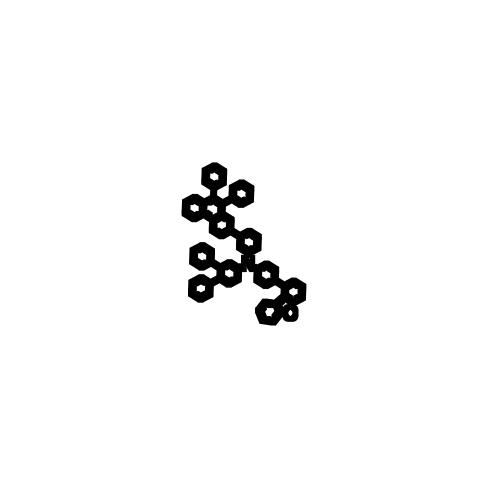 c1ccc(-c2ccc(N(c3ccc(-c4cccc5oc6ccccc6c45)cc3)c3cccc(-c4ccc5c(c4)c(-c4ccccc4)c(-c4ccccc4)c4ccccc45)c3)cc2-c2ccccc2)cc1